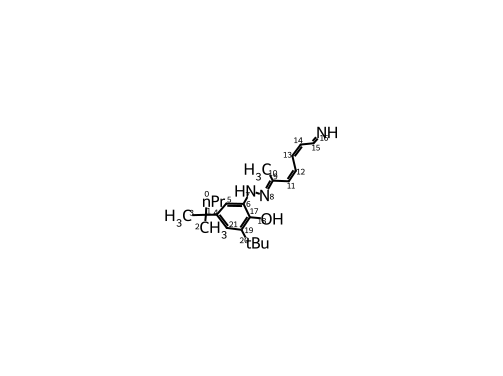 CCCC(C)(C)c1cc(N/N=C(C)/C=C\C=C/C=N)c(O)c(C(C)(C)C)c1